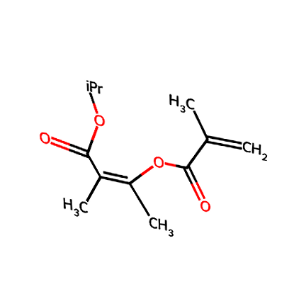 C=C(C)C(=O)OC(C)=C(C)C(=O)OC(C)C